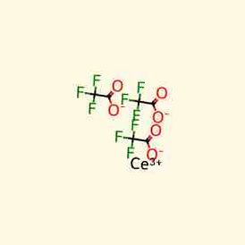 O=C([O-])C(F)(F)F.O=C([O-])C(F)(F)F.O=C([O-])C(F)(F)F.[Ce+3]